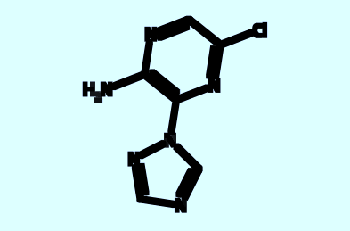 Nc1ncc(Cl)nc1-n1cncn1